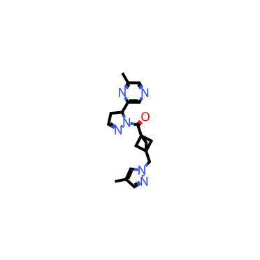 Cc1cnn(CC23CC(C(=O)N4N=CCC4c4cncc(C)n4)(C2)C3)c1